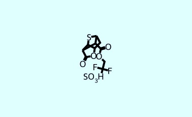 O=C(OCC(F)(F)S(=O)(=O)O)C1C2CC3OC(=O)C1C3S2